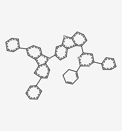 C1=CCCC(c2nc(-c3ccccc3)cc(-c3cccc4oc5cc(-n6c7ccc(-c8ccccc8)cc7c7cc(-c8ccccc8)ccc76)ccc5c34)n2)=C1